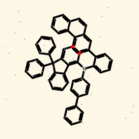 c1ccc(-c2ccc(N(c3ccccc3-c3ccc4c(ccc5ccccc54)c3)c3cccc4c3-c3ccccc3C4(c3ccccc3)c3ccccc3)cc2)cc1